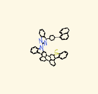 c1ccc2c(-c3ccc(-c4nc(-n5c6ccccc6c6c7cccc8c9cccc%10c%11c(cc(c(cc65)c87)c9%10)sc5ccccc5%11)nc5ccccc45)cc3)cccc2c1